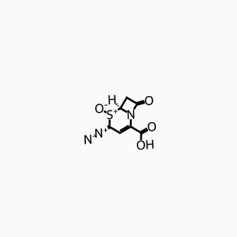 [N-]=[N+]=C1C=C(C(=O)O)N2C(=O)C[C@@H]2[S+]1[O-]